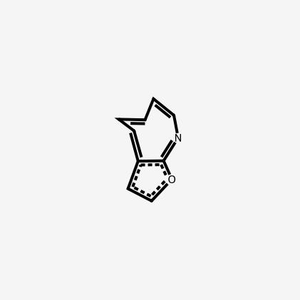 C1=C\N=c2\occ\c2=C/C=C/1